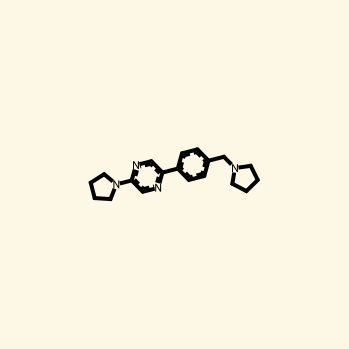 c1cc(-c2cnc(N3CCCC3)cn2)ccc1CN1CCCC1